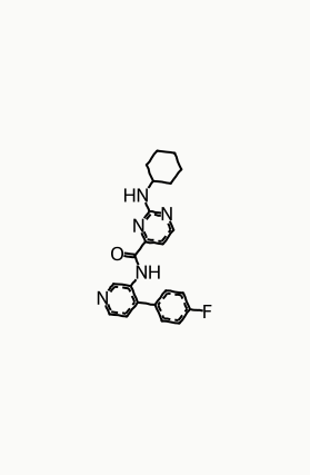 O=C(Nc1cnccc1-c1ccc(F)cc1)c1ccnc(NC2CCCCC2)n1